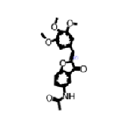 COc1cc(/C=C2\Oc3ccc(NC(C)=O)cc3C2=O)cc(OC)c1OC